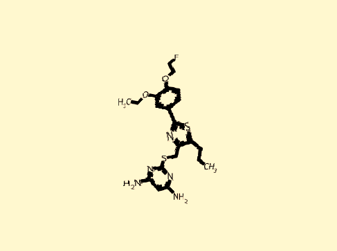 CCCc1sc(-c2ccc(OCCF)c(OCC)c2)nc1CSc1nc(N)cc(N)n1